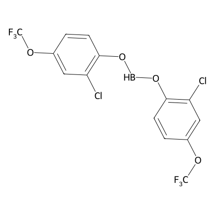 FC(F)(F)Oc1ccc(OBOc2ccc(OC(F)(F)F)cc2Cl)c(Cl)c1